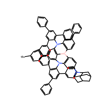 CC(C)(C)c1ccc(-c2cc3c4c(c2)N(c2c(-c5ccccc5)cc(-c5ccccc5)cc2-c2ccccc2)c2cc(N5C6CC7CC(C6)CC5C7)ccc2B4c2ccc(-c4ccccc4)cc2N3c2c(-c3ccccc3)cc(-c3ccccc3)cc2-c2ccccc2)cc1